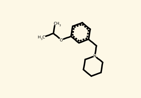 CC(C)Oc1cccc(CN2CCCCC2)c1